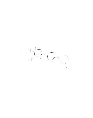 CC(C)[C@H]1CN(c2ccc(-c3cnc(N)c(Cl)n3)cc2)CCO1